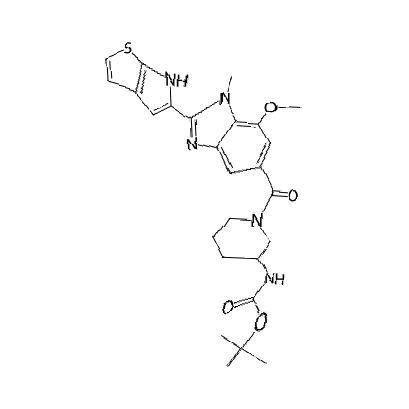 COc1cc(C(=O)N2CCCC(NC(=O)OC(C)(C)C)C2)cc2nc(-c3cc4ccsc4[nH]3)n(C)c12